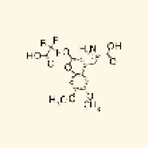 COc1cc2oc(=O)cc(C[C@H](N)C(=O)O)c2cc1OC.O=C(O)C(F)(F)F